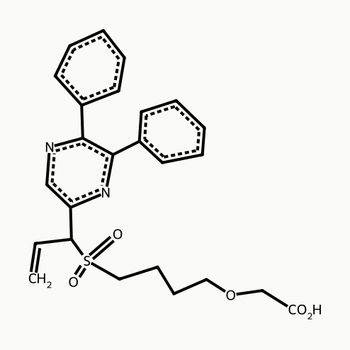 C=CC(c1cnc(-c2ccccc2)c(-c2ccccc2)n1)S(=O)(=O)CCCCOCC(=O)O